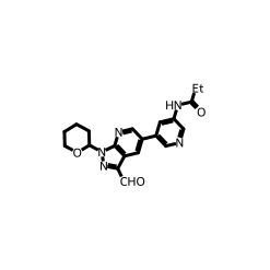 CCC(=O)Nc1cncc(-c2cnc3c(c2)c(C=O)nn3C2CCCCO2)c1